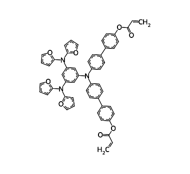 C=CC(=O)Oc1ccc(-c2ccc(N(c3ccc(-c4ccc(OC(=O)C=C)cc4)cc3)c3cc(N(c4ccco4)c4ccco4)cc(N(c4ccco4)c4ccco4)c3)cc2)cc1